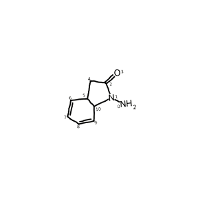 NN1C(=O)CC2C=CC=CC21